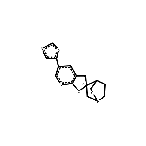 c1ncc(-c2cnc3c(c2)C[C@@]2(CN4CCC2CC4)O3)s1